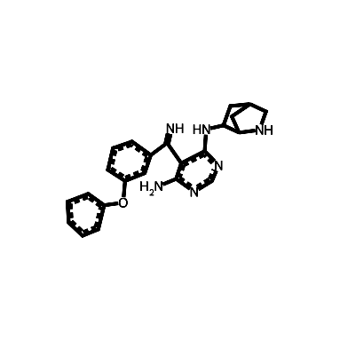 N=C(c1cccc(Oc2ccccc2)c1)c1c(N)ncnc1NC1CC2CNC1C2